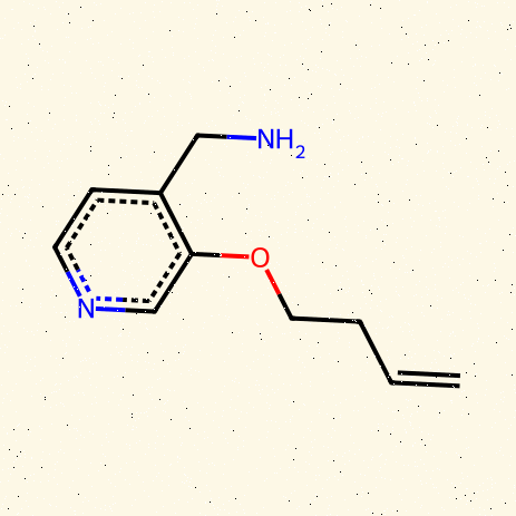 C=CCCOc1cnccc1CN